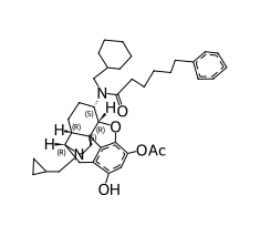 CC(=O)Oc1cc(O)c2c3c1O[C@H]1[C@@H](N(CC4CCCCC4)C(=O)CCCCCc4ccccc4)CC[C@H]4[C@@H](C2)N(CC2CC2)CC[C@@]341